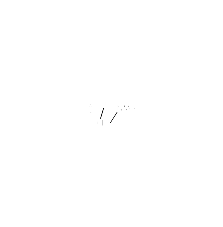 CNC.ClI.[Ag]